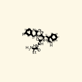 CC[C@@H](N)C(=O)NNC(=O)N[C@@H](Cc1c[nH]c2ccccc12)C(=O)N[C@@H](Cc1cccc(F)c1)C(N)=O